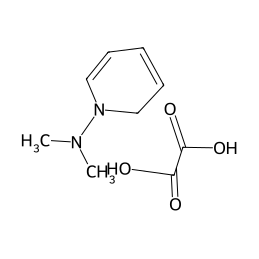 CN(C)N1C=CC=CC1.O=C(O)C(=O)O